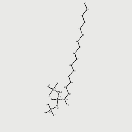 CCCCCCCCCCCCCCCCC(C)[Si](C)(O[Si](C)(C)C)O[Si](C)(C)C